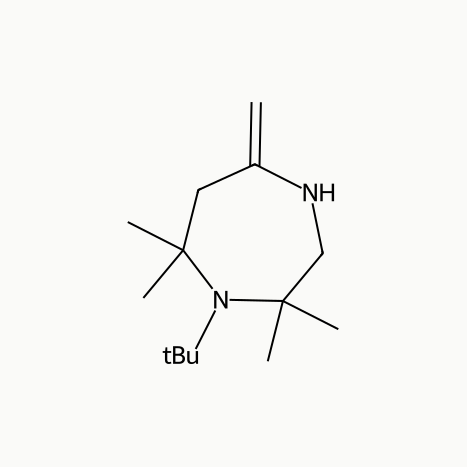 C=C1CC(C)(C)N(C(C)(C)C)C(C)(C)CN1